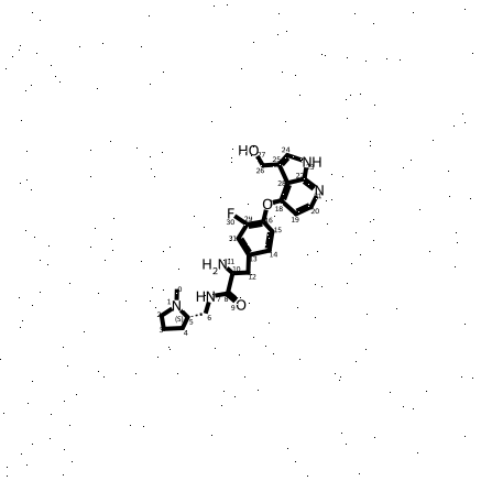 CN1CCC[C@H]1CNC(=O)C(N)Cc1ccc(Oc2ccnc3[nH]cc(CO)c23)c(F)c1